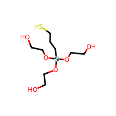 OCCO[Si](CCCS)(OCCO)OCCO